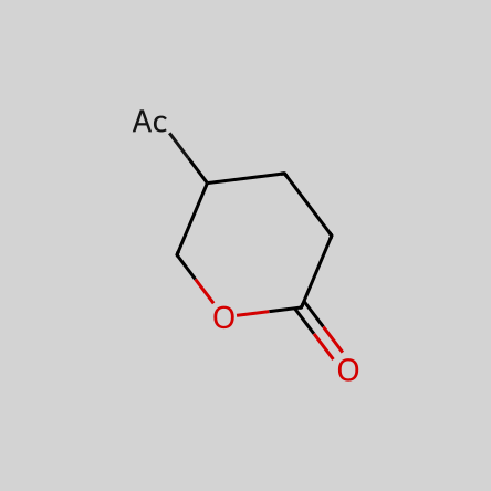 CC(=O)C1CCC(=O)OC1